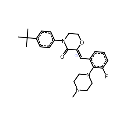 CN1CCN(c2c(F)cccc2/C=C2\OCCN(c3ccc(C(C)(C)C)cc3)C2=O)CC1